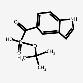 CC(C)(C)OP(=O)(O)C(=O)c1ccc2[nH]ccc2c1